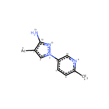 CC(=O)c1cn(-c2ccc(C(F)(F)F)nc2)nc1N